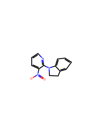 O=[N+]([O-])c1cccnc1N1CCc2ccccc21